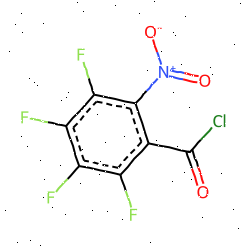 O=C(Cl)c1c(F)c(F)c(F)c(F)c1[N+](=O)[O-]